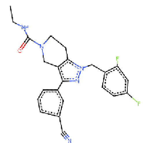 CCNC(=O)N1CCc2c(c(-c3cccc(C#N)c3)nn2Cc2ccc(F)cc2F)C1